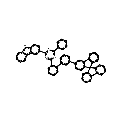 c1ccc(-c2nc(-c3ccc4sc5ccccc5c4c3)nc(-c3ccccc3-c3cccc(-c4ccc5c(c4)-c4ccccc4C54c5ccccc5-c5ccccc54)c3)n2)cc1